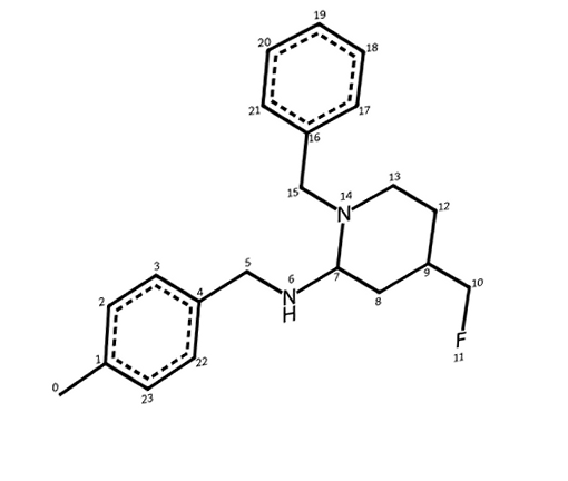 Cc1ccc(CNC2CC(CF)CCN2Cc2ccccc2)cc1